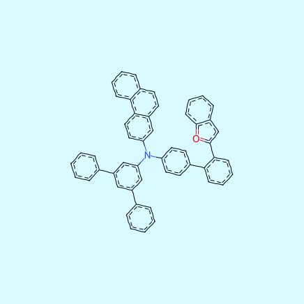 c1ccc(-c2cc(-c3ccccc3)cc(N(c3ccc(-c4ccccc4-c4cc5ccccc5o4)cc3)c3ccc4c(ccc5ccccc54)c3)c2)cc1